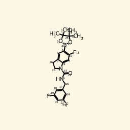 CC1(C)OB(c2cc3c(cc2F)N(C(=O)NCc2cc(F)cc(F)c2)CC3)OC1(C)C